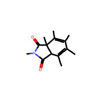 CC1=C(C)C2C(=O)N(C)C(=O)C2(C)C(C)=C1C